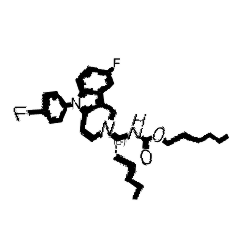 CCCCCCOC(=O)N[C@H](CCCCC)N1CCc2c(c3cc(F)ccc3n2-c2ccc(F)cc2)C1